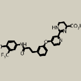 O=C(CCc1cccc(Oc2ccnc(C3=NC(C(=O)O)CCN3)c2)c1)Nc1ccc(Cl)c(C(F)(F)F)c1